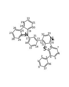 c1ccc(-c2cccc3c2sc2c(-c4cccc(-n5c6ccccc6c6ccccc65)c4)ccnc23)cc1